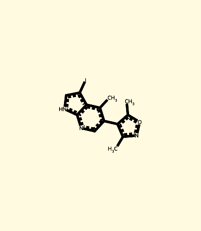 Cc1noc(C)c1-c1cnc2[nH]cc(I)c2c1C